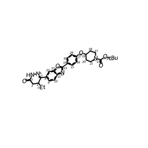 CCC1CC(=O)NN=C1c1ccc2nc(-c3ccc(OC4CCN(C(=O)OC(C)(C)C)CC4)cc3)oc2c1